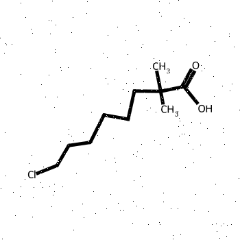 CC(C)(CCCCCCCl)C(=O)O